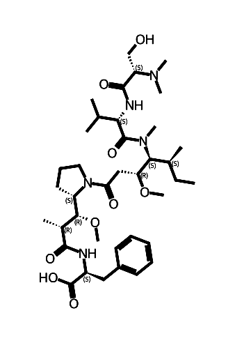 CC[C@H](C)[C@@H]([C@@H](CC(=O)N1CCC[C@H]1[C@H](OC)[C@@H](C)C(=O)N[C@@H](Cc1ccccc1)C(=O)O)OC)N(C)C(=O)[C@@H](NC(=O)[C@H](CO)N(C)C)C(C)C